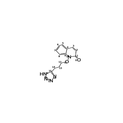 O=c1ccc2ccccc2n1OCCCc1nnn[nH]1